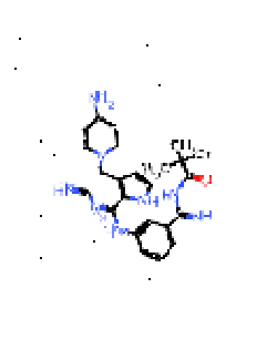 CCC(C)(C)C(=O)NC(=N)c1cccc(N/C(=N/C=N)c2[nH]ccc2CN2CCC(N)CC2)c1